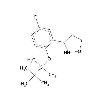 CC(C)(C)[Si](C)(C)Oc1ccc(F)cc1C1CCON1